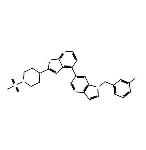 CS(=O)(=O)N1CCC(c2cc3c(-c4cnc5ccn(Cc6cccc(F)c6)c5c4)ccnc3[nH]2)CC1